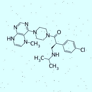 CC(C)NC[C@@H](C(=O)N1CCN(c2ncnc3c2N(C)C=CN3)CC1)c1ccc(Cl)cc1